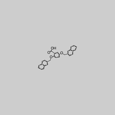 O=C(O)c1cc(OCc2ccc3ccccc3c2)ccc1OCc1ccc2ccccc2c1